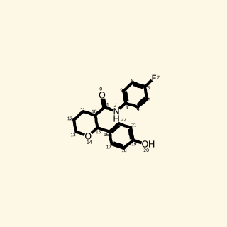 O=C(Nc1ccc(F)cc1)C1CCCOC1c1ccc(O)cc1